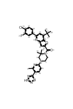 Cc1nc(N2CCN(C(=O)c3cc4nc(-c5ccc(Cl)c(F)c5)cc(C(C)(C)C)c4o3)C(C)(C)C2)ccc1-c1nn[nH]n1